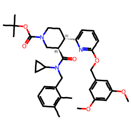 COc1cc(COc2cccc([C@H]3CCN(C(=O)OC(C)(C)C)C[C@@H]3C(=O)N(Cc3cccc(C)c3C)C3CC3)n2)cc(OC)c1